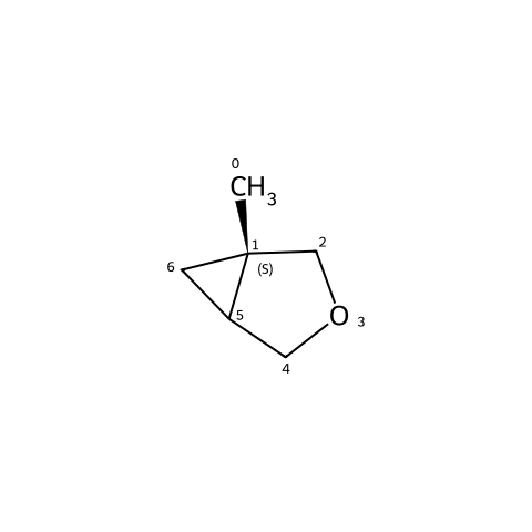 C[C@@]12COCC1C2